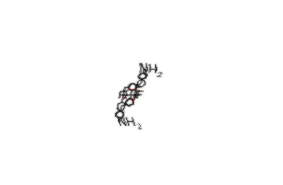 Nc1ccc(Oc2cccc(C(c3cccc(Oc4ccc(N)cc4)c3)(C(F)(F)F)C(F)(F)F)c2)cc1